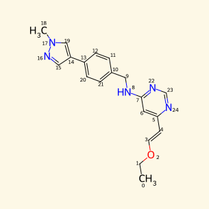 CCOC=Cc1cc(NCc2ccc(-c3cnn(C)c3)cc2)ncn1